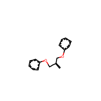 C=C(COc1ccccc1)COc1ccccc1